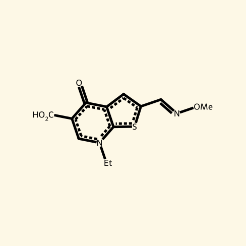 CCn1cc(C(=O)O)c(=O)c2cc(/C=N/OC)sc21